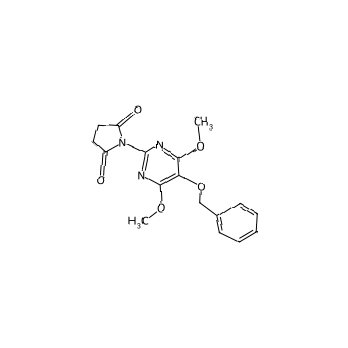 COc1nc(N2C(=O)CCC2=O)nc(OC)c1OCc1ccccc1